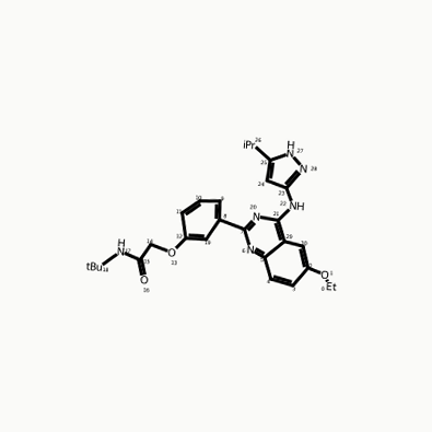 CCOc1ccc2nc(-c3cccc(OCC(=O)NC(C)(C)C)c3)nc(Nc3cc(C(C)C)[nH]n3)c2c1